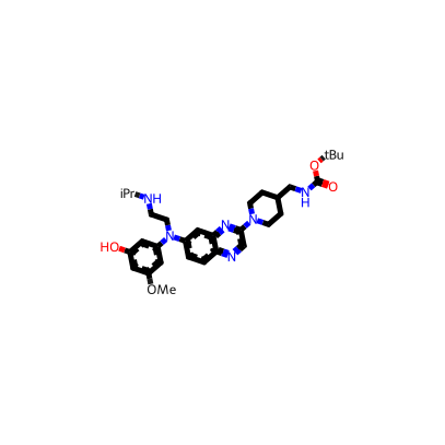 COc1cc(O)cc(N(CCNC(C)C)c2ccc3ncc(N4CCC(CNC(=O)OC(C)(C)C)CC4)nc3c2)c1